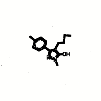 CCCCc1c(-c2ccc(C)cc2)nn(C)c1O